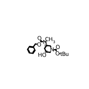 CN(C(=O)OCc1ccccc1)[C@@H]1C[C@@H](O)CN(C(=O)OC(C)(C)C)C1